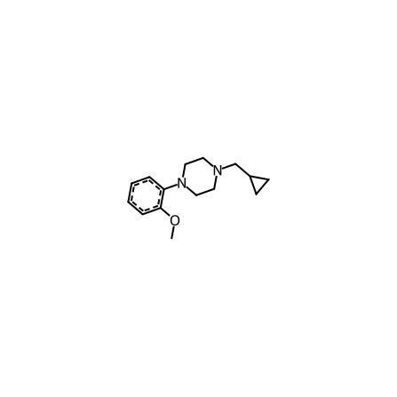 COc1ccccc1N1CCN(CC2CC2)CC1